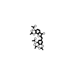 CC(=O)Oc1cc(/C=C2\Oc3c(ccc(OC(C)=O)c3OC(C)=O)C2=O)cc(OC(C)=O)c1OC(C)=O